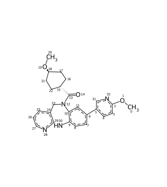 COc1ccc(-c2ccc3c(c2)N(C(=O)[C@H]2CC[C@H](OC)CC2)Cc2cccnc2N3)cn1